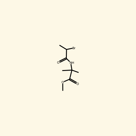 COC(=O)C(C)(C)NC(=O)C(C)Br